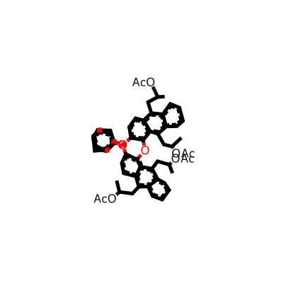 CC(=O)OC(C)Cc1c2ccccc2c(CC(C)OC(C)=O)c2c(Oc3c(Oc4ccccc4)ccc4c(CC(C)OC(C)=O)c5ccccc5c(CC(C)OC(C)=O)c34)c(Oc3ccccc3)ccc12